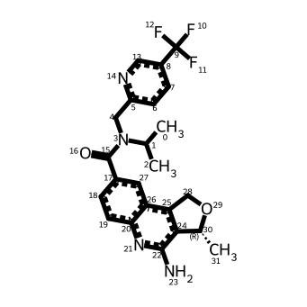 CC(C)N(Cc1ccc(C(F)(F)F)cn1)C(=O)c1ccc2nc(N)c3c(c2c1)CO[C@@H]3C